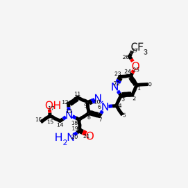 Cc1cc(C(C)n2cc3c(n2)C=CN(CC(C)O)C3C(N)=O)ncc1OCC(F)(F)F